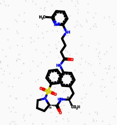 Cc1cccc(NCCCC(=O)Nc2ccc(C[C@H](NC(=O)[C@@H]3CCCN3S(=O)(=O)c3ccccc3)C(=O)O)cc2)n1